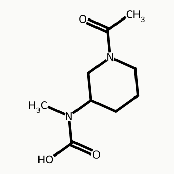 CC(=O)N1CCCC(N(C)C(=O)O)C1